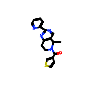 CC1c2cnc(-c3ccccn3)nc2CCN1C(=O)c1ccsc1